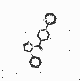 O=C(C1CCN(c2ccccn2)CC1)N1N=CC[C@H]1c1ccccc1